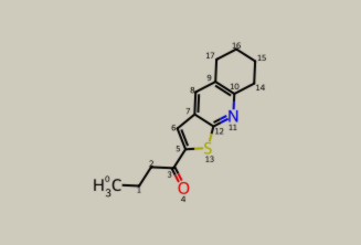 CCCC(=O)c1cc2cc3c(nc2s1)CCCC3